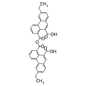 CCc1ccc2cc(C(=O)O)c3c(C(=O)OC(=O)c4cccc5c4c(C(=O)O)cc4ccc(CC)cc45)cccc3c2c1